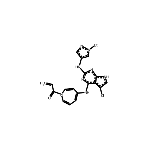 C=CC(=O)N1C=CC=C(Nc2nc(Nc3cnn(CC)c3)nc3[nH]cc(Cl)c23)C=C1